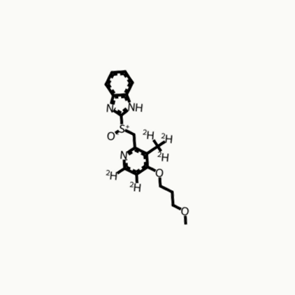 [2H]c1nc(C[S+]([O-])c2nc3ccccc3[nH]2)c(C([2H])([2H])[2H])c(OCCCOC)c1[2H]